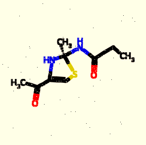 CCC(=O)N[C@]1(C)NC(C(C)=O)=CS1